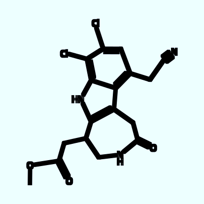 COC(=O)CC1CNC(=O)Cc2c1[nH]c1c(Cl)c(Cl)cc(CC#N)c21